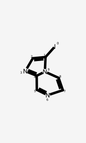 Ic1cnc2cnccn12